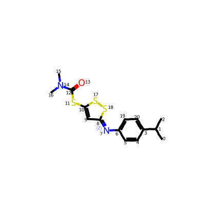 CC(C)c1ccc(/N=c2/cc(SC(=O)N(C)C)ss2)cc1